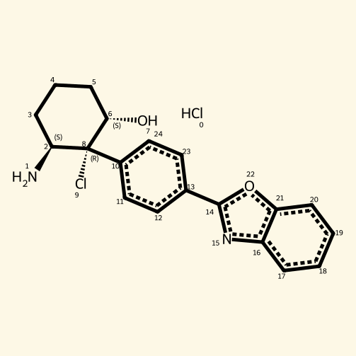 Cl.N[C@H]1CCC[C@H](O)[C@@]1(Cl)c1ccc(-c2nc3ccccc3o2)cc1